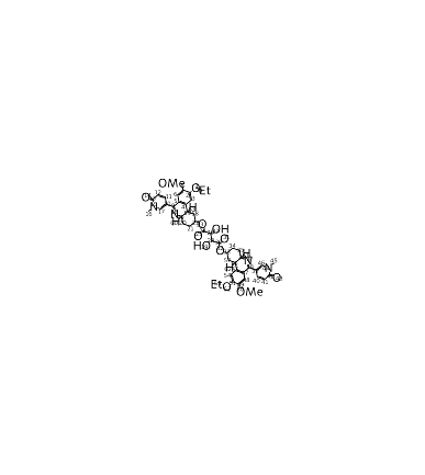 CCOc1cc2c(cc1OC)C(c1ccc(=O)n(C)c1)=N[C@H]1CC[C@H](OC(=O)C(O)C(O)C(=O)O[C@H]3CC[C@@H]4N=C(c5ccc(=O)n(C)c5)c5cc(OC)c(OCC)cc5[C@@H]4C3)C[C@@H]21